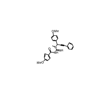 COc1ccc(C(=O)NC(=N)N(C)C(C#Cc2ccccc2)c2ccc(OC)cc2)cc1